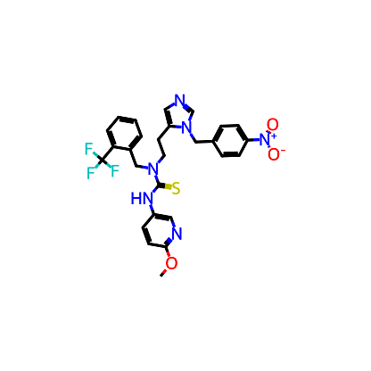 COc1ccc(NC(=S)N(CCc2cncn2Cc2ccc([N+](=O)[O-])cc2)Cc2ccccc2C(F)(F)F)cn1